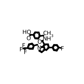 C[C@H](NC(=O)c1cc(-c2ccc(F)cc2)cc2ccn(Cc3ccc(C(F)(F)F)cc3)c12)c1ccc(C(=O)O)cc1